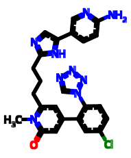 Cn1c(CCCc2ncc(-c3ccc(N)nc3)[nH]2)cc(-c2cc(Cl)ccc2-n2cnnn2)cc1=O